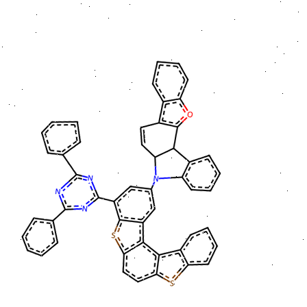 C1=CC2C(c3ccccc3N2c2cc(-c3nc(-c4ccccc4)nc(-c4ccccc4)n3)c3sc4ccc5sc6ccccc6c5c4c3c2)c2oc3ccccc3c21